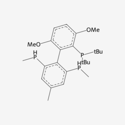 COc1ccc(OC)c(P(C(C)(C)C)C(C)(C)C)c1-c1c(PC)cc(C)cc1PC